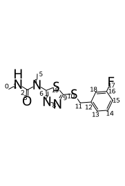 CNC(=O)N(C)c1nnc(SCc2cccc(F)c2)s1